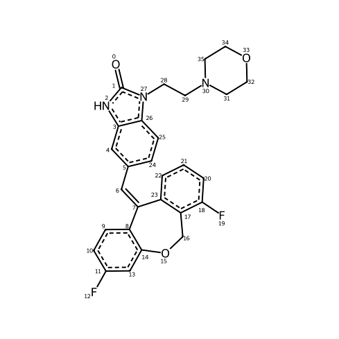 O=c1[nH]c2cc(/C=C3/c4ccc(F)cc4OCc4c(F)cccc43)ccc2n1CCN1CCOCC1